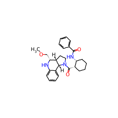 COC[C@H]1Nc2ccccc2[C@@H]2[C@H]1CCN2C(=O)[C@H]1CCCC[C@H]1NC(=O)c1ccccc1